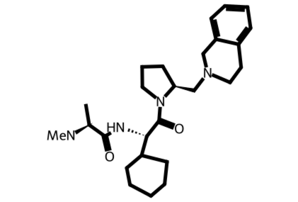 CN[C@@H](C)C(=O)N[C@H](C(=O)N1CCC[C@H]1CN1CCc2ccccc2C1)C1CCCCC1